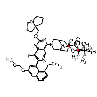 CCc1cccc2cc(OCOC)cc(-c3ncc4c(N5CC6CN(C(=O)OC(C)(C)C)CC(C5)N6C(=O)OC(C)(C)C)nc(OCC56CCCN5CCC6)nc4c3F)c12